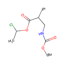 CC(Cl)OC(=O)C(CNC(=O)OC(C)(C)C)C(C)C